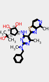 Cc1nc(N(C)Cc2ccccc2)nc(N[C@@H]2C[C@H](C(C)(C)O)[C@@H](O)[C@H]2O)c1-c1nc2c(C)nccc2s1